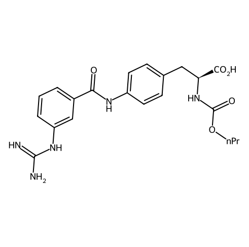 CCCOC(=O)N[C@@H](Cc1ccc(NC(=O)c2cccc(NC(=N)N)c2)cc1)C(=O)O